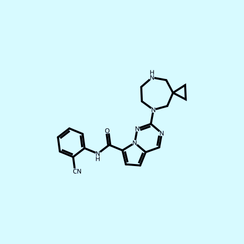 N#Cc1ccccc1NC(=O)c1ccc2cnc(N3CCNCC4(CC4)C3)nn12